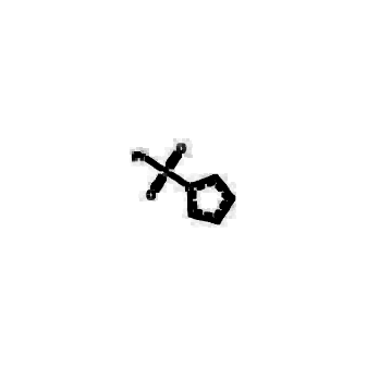 CC(C)S(=O)(=O)n1cccc1